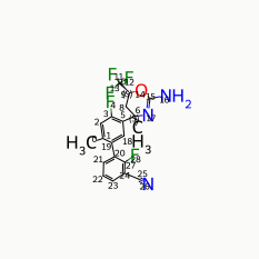 Cc1cc(F)c([C@]2(C)C[C@@H](C(F)(F)F)OC(N)=N2)cc1-c1cccc(C#N)c1F